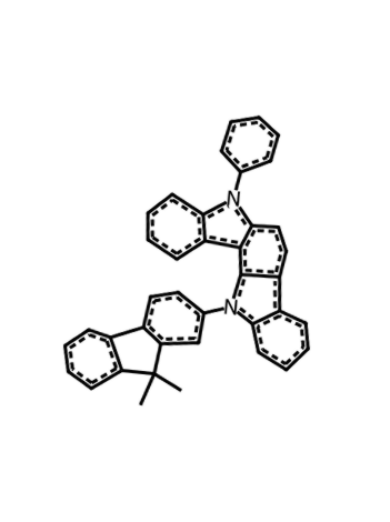 CC1(C)c2ccccc2-c2ccc(-n3c4ccccc4c4ccc5c(c6ccccc6n5-c5ccccc5)c43)cc21